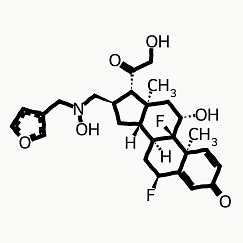 C[C@]12C[C@H](O)[C@@]3(F)[C@@H](C[C@H](F)C4=CC(=O)C=C[C@@]43C)[C@@H]1C[C@@H](CN(O)Cc1ccoc1)[C@@H]2C(=O)CO